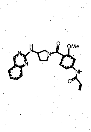 C=CC(=O)Nc1ccc(C(=O)N2CCC(Nc3ncc4ccccc4n3)C2)c(OC)c1